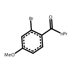 CCCC(=O)c1ccc(OC)cc1Br